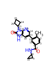 Cc1ccc(C(=O)NC2CC2)cc1-c1cnc2c(c1)[nH]c(=O)n2C1CCC1